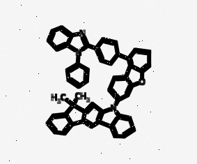 CC1(C)c2ccccc2-c2cc3c4ccccc4n(-c4ccc5c(c4)oc4cccc(C6C=CC(c7nc8ccccc8n7-c7ccccc7)=CC6)c45)c3cc21